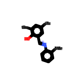 CNc1ccccc1/N=C/c1cc(C(C)(C)C)cc(C(C)(C)C)c1O